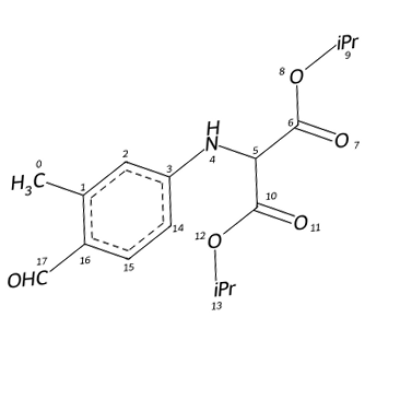 Cc1cc(NC(C(=O)OC(C)C)C(=O)OC(C)C)ccc1C=O